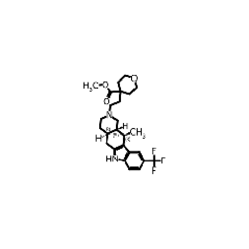 COC(=O)C1(CCN2CC[C@@H]3Cc4[nH]c5ccc(C(F)(F)F)cc5c4[C@H](C)[C@H]3C2)CCOCC1